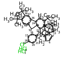 Cl.Cl.[CH2]=[Zr]([C]1=CC=CC1)([c]1ccccc1)([c]1ccc(Cl)cc1)[c]1c2c(cc(C(C)(C)C)c1C(C)(C)C)-c1cc(C(C)(C)C)c(C(C)(C)C)cc1C2